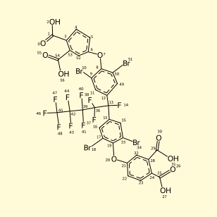 O=C(O)c1ccc(Oc2c(Br)cc(C(F)(c3cc(Br)c(Oc4ccc(C(=O)O)c(C(=O)O)c4)c(Br)c3)C(F)(F)C(F)(F)C(F)(F)C(F)(F)F)cc2Br)cc1C(=O)O